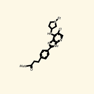 CCN1CCC(Nc2c(Cl)cnc3[nH]c(-c4ccc(CCC(=O)NC)cc4)nc23)C1